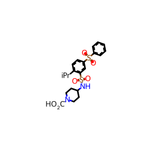 CC(C)c1ccc(S(=O)(=O)c2ccccc2)cc1S(=O)(=O)NC1CCN(C(=O)O)CC1